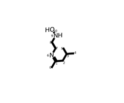 CC(CC(C)C)=NCCNO